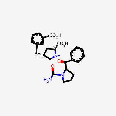 NC(=O)N1CCCC1C(=O)c1ccccc1.O=C(O)[C@@H]1CCCN1.O=C(O)c1cccc(C(=O)O)c1